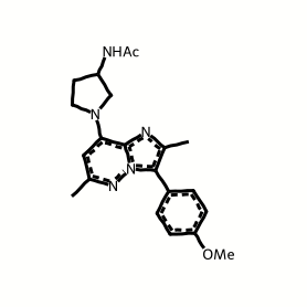 COc1ccc(-c2c(C)nc3c(N4CCC(NC(C)=O)C4)cc(C)nn23)cc1